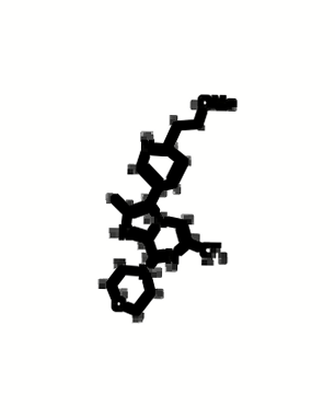 COCCc1ccc(-c2c(C)nc3c(N4CCOCC4)nc(C(F)(F)F)cn23)cn1